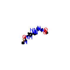 Cc1cc(-c2ccnc(Nc3cnn(C4CN(C(=O)OC(C)(C)C)C4)c3)n2)ccc1CNC(=O)c1cnc(C(C)(C)C)s1